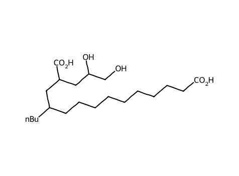 CCCCC(CCCCCCCCCC(=O)O)CC(CC(O)CO)C(=O)O